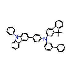 CC1(C)c2ccccc2-c2ccc(N(c3ccc(-c4ccc5c(c4)c4ccccc4n5-c4ccccc4)cc3)c3cccc(-c4ccccc4)c3)cc21